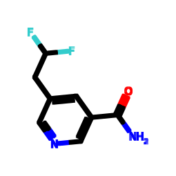 NC(=O)c1cncc(CC(F)F)c1